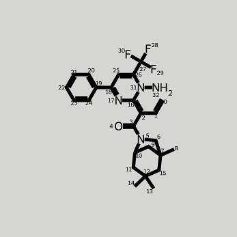 C=C/C(C(=O)N1CC2(C)CC1CC(C)(C)C2)=C1/N=C(c2ccccc2)C=C(C(F)(F)F)N1N